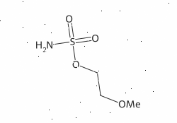 COCCOS(N)(=O)=O